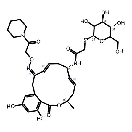 C[C@@H]1C/C=C/[C@@H](NC(=O)CS[C@@H]2OC(CO)[C@@H](O)[C@H](O)C2O)C/C=C/C(=N\OCC(=O)N2CCCCC2)Cc2cc(O)cc(O)c2C(=O)O1